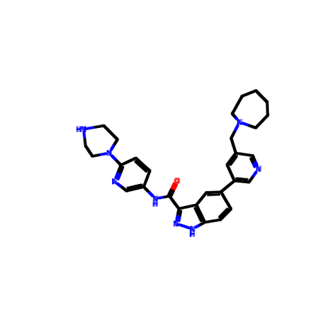 O=C(Nc1ccc(N2CCNCC2)nc1)c1n[nH]c2ccc(-c3cncc(CN4CCCCCC4)c3)cc12